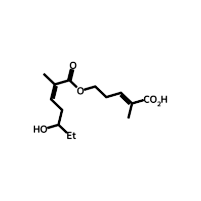 CCC(O)CC=C(C)C(=O)OCCC=C(C)C(=O)O